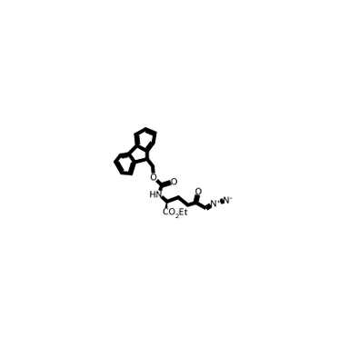 CCOC(=O)[C@H](CCC(=O)C=[N+]=[N-])NC(=O)OCC1c2ccccc2-c2ccccc21